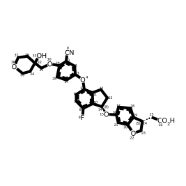 N#Cc1cc(Oc2ccc(F)c3c2CC[C@H]3Oc2ccc3c(c2)OC[C@H]3CC(=O)O)ccc1OCC1(O)CCOCC1